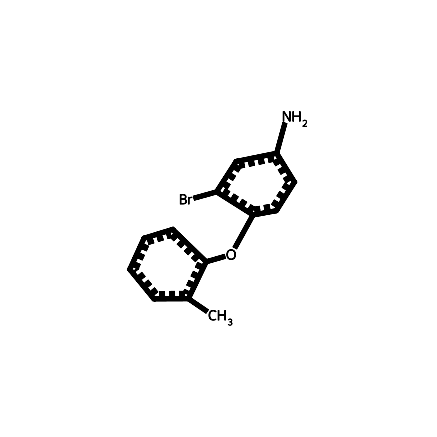 Cc1ccccc1Oc1ccc(N)cc1Br